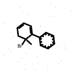 CC1(Br)CC=CC=C1c1ccccc1